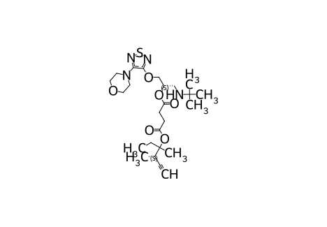 C#C[C@H](C)C(C)(CC)OC(=O)CCC(=O)O[C@@H](CNC(C)(C)C)COc1nsnc1N1CCOCC1